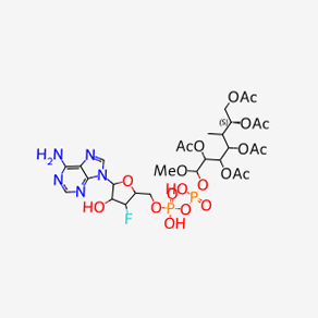 COC(OP(=O)(O)OP(=O)(O)OCC1OC(n2cnc3c(N)ncnc32)C(O)C1F)C(OC(C)=O)C(OC(C)=O)C(OC(C)=O)C(C)[C@@H](COC(C)=O)OC(C)=O